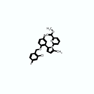 COC(=O)c1cccc(-n2c(C)ccc2-c2cc(Br)ccc2OCc2ccc(F)cc2Cl)n1